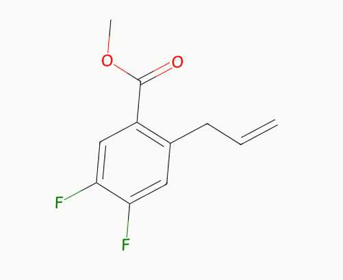 C=CCc1cc(F)c(F)cc1C(=O)OC